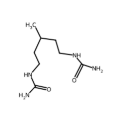 CC(CCNC(N)=O)CCNC(N)=O